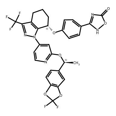 C[C@H](Oc1cc(-n2nc(C(F)(F)F)c3c2[C@@H](Oc2ccc(-c4nc(=O)o[nH]4)cc2)CCC3)ccn1)c1ccc2c(c1)OC(F)(F)O2